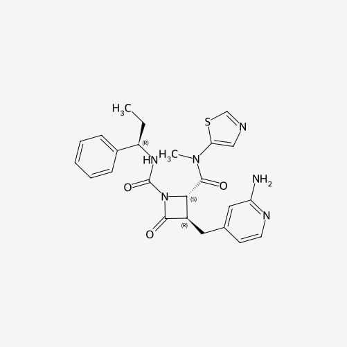 CC[C@@H](NC(=O)N1C(=O)[C@H](Cc2ccnc(N)c2)[C@H]1C(=O)N(C)c1cncs1)c1ccccc1